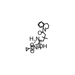 CC(C)(CC(=O)N1CCCc2ccccc21)C[C@H](N)[C@@H](O)CNS(=O)(=O)C1CC1